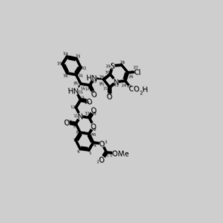 COC(=O)Oc1cccc2c(=O)n(CC(=O)N[C@@H](C(=O)N[C@@H]3C(=O)N4C(C(=O)O)=C(Cl)CSC34)c3ccccc3)c(=O)oc12